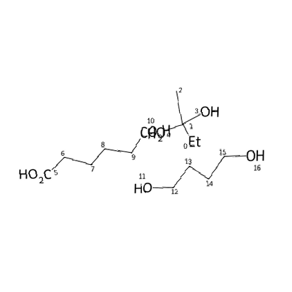 CCC(C)(O)O.O=C(O)CCCCC(=O)O.OCCCCO